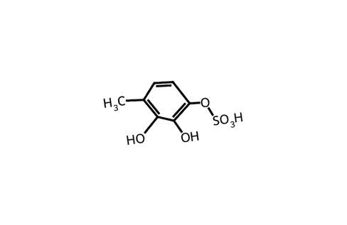 Cc1ccc(OS(=O)(=O)O)c(O)c1O